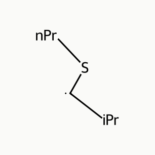 CCCS[CH]C(C)C